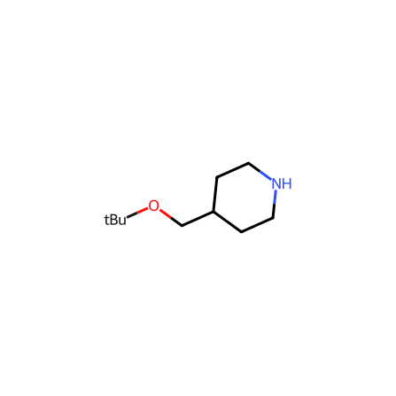 CC(C)(C)OCC1CCNCC1